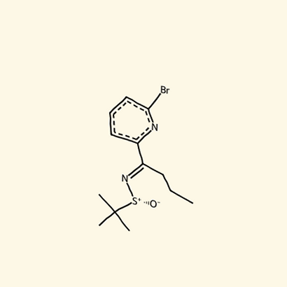 CCC/C(=N\[S@+]([O-])C(C)(C)C)c1cccc(Br)n1